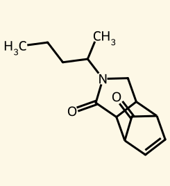 CCCC(C)N1CC2C3C=CC(C3=O)C2C1=O